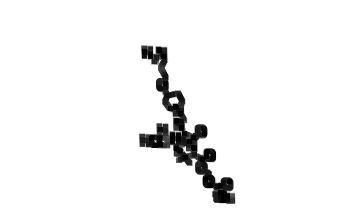 CC(C)(C)C(=O)OCOC(=O)[C@@H]1N2C(=O)[C@@H](N=CN3CCC(OCCCN)CC3)[C@H]2SC1(C)C.Cl.Cl